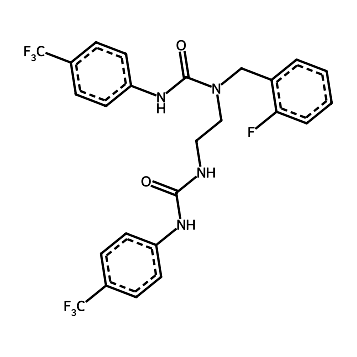 O=C(NCCN(Cc1ccccc1F)C(=O)Nc1ccc(C(F)(F)F)cc1)Nc1ccc(C(F)(F)F)cc1